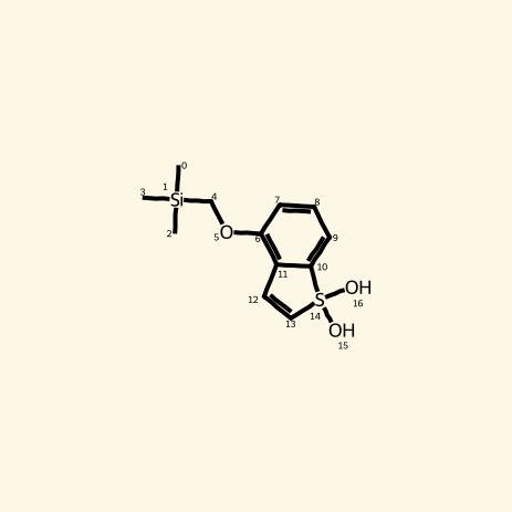 C[Si](C)(C)COc1cccc2c1C=CS2(O)O